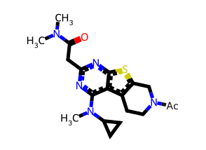 CC(=O)N1CCc2c(sc3nc(CC(=O)N(C)C)nc(N(C)C4CC4)c23)C1